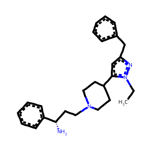 CCn1nc(Cc2ccccc2)cc1C1CCN(CC[C@H](N)c2ccccc2)CC1